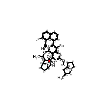 C#Cc1c(F)ccc2cccc(-c3nc4c5c(nc(OC[C@]67CCCN6CC(=C)C7)nc5c3F)N3CC5CCC(C3C(C)O4)N5C(=O)O)c12